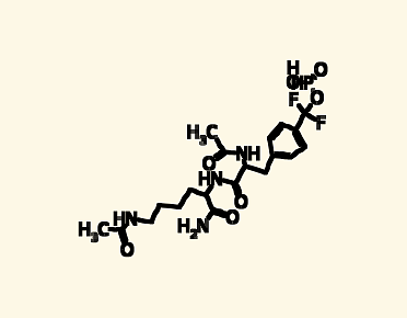 CC(=O)NCCCCC(NC(=O)C(Cc1ccc(C(F)(F)O[PH](=O)O)cc1)NC(C)=O)C(N)=O